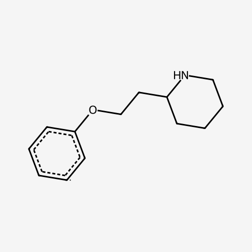 [c]1cccc(OCCC2CCCCN2)c1